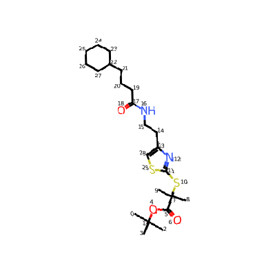 CC(C)(C)OC(=O)C(C)(C)Sc1nc(CCNC(=O)CCCC2CCCCC2)cs1